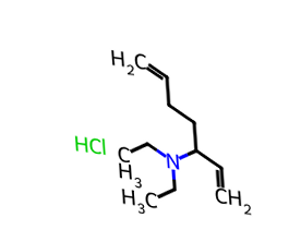 C=CCCC(C=C)N(CC)CC.Cl